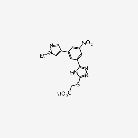 CCn1cc(-c2cc(-c3nnc(SCC(=O)O)[nH]3)cc([N+](=O)[O-])c2)cn1